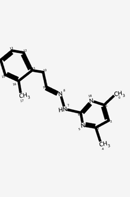 Cc1cc(C)nc(NN=CCc2ccccc2C)n1